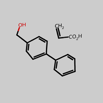 C=CC(=O)O.OCc1ccc(-c2ccccc2)cc1